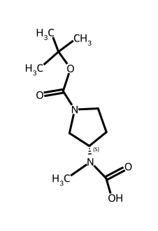 CN(C(=O)O)[C@H]1CCN(C(=O)OC(C)(C)C)C1